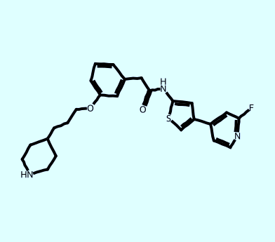 O=C(Cc1cccc(OCCCC2CCNCC2)c1)Nc1cc(-c2ccnc(F)c2)cs1